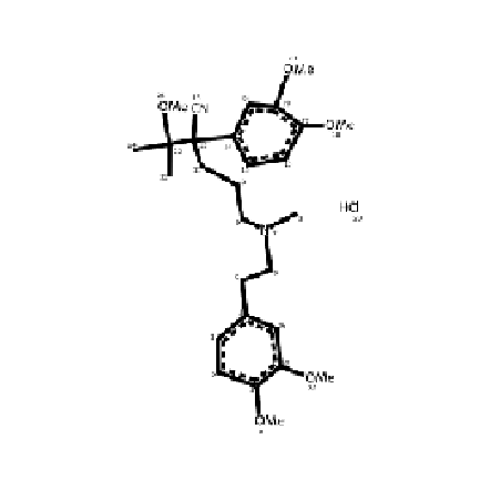 COc1ccc(CCN(C)CCCC(C#N)(c2ccc(OC)c(OC)c2)C(C)(C)OC)cc1OC.Cl